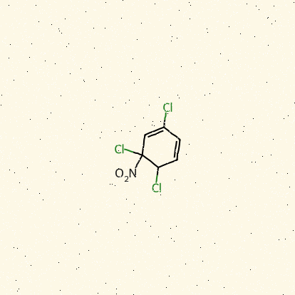 O=[N+]([O-])C1(Cl)C=C(Cl)C=CC1Cl